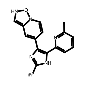 Cc1cccc(-c2[nH]c(C(C)C)nc2C2=CC3=CNON3C=C2)n1